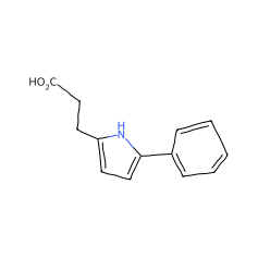 O=C(O)CCc1ccc(-c2ccccc2)[nH]1